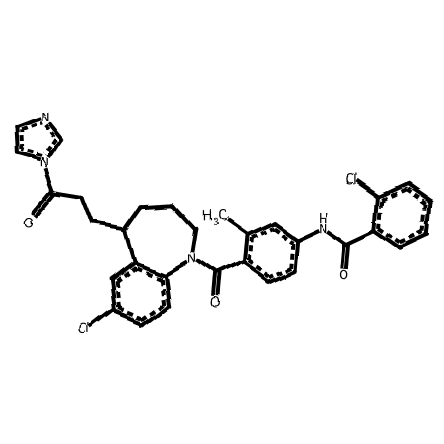 Cc1cc(NC(=O)c2ccccc2Cl)ccc1C(=O)N1CCCC(CCC(=O)n2ccnc2)c2cc(Cl)ccc21